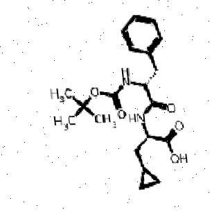 CC(C)(C)OC(=O)N[C@H](Cc1ccccc1)C(=O)N[C@H](CC1CC1)C(=O)O